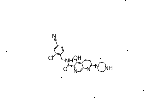 N#Cc1ccc(CNC(=O)c2ncc3nc(N4CCNCC4)ccc3c2O)c(Cl)c1